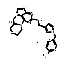 FC(F)(F)c1ccc(Cn2cc(CNc3nc4c5c(ccn5C[C@@H]5COCCN45)n3)cn2)cn1